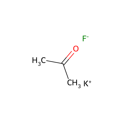 CC(C)=O.[F-].[K+]